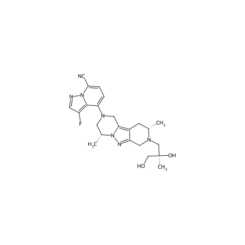 C[C@@H]1CN(c2ccc(C#N)n3ncc(F)c23)Cc2c3c(nn21)CN(C[C@@](C)(O)CO)[C@@H](C)C3